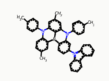 Cc1ccc(N2c3ccc(C)cc3B3c4ccc(-n5c6ccccc6c6ccccc65)cc4N(c4ccc(C)cc4)c4cc(C)cc2c43)cc1